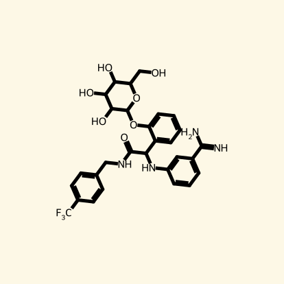 N=C(N)c1cccc(NC(C(=O)NCc2ccc(C(F)(F)F)cc2)c2ccccc2OC2OC(CO)C(O)C(O)C2O)c1